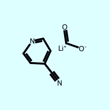 N#Cc1ccncc1.O=C[O-].[Li+]